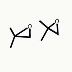 CC1(C)CO1.CC1(C)CO1